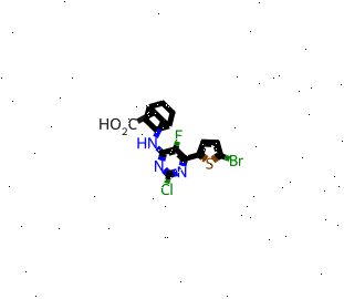 O=C(O)C1C2CCC(CC2)C1Nc1nc(Cl)nc(-c2ccc(Br)s2)c1F